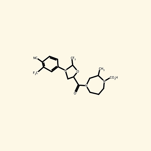 CC1CN(C(=O)C2CN(c3ccc(C#N)c(C(F)(F)F)c3)C(C(F)(F)F)O2)CCCN1C(=O)O